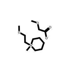 COCC(=O)[O-].COCC[N+]1(C)CCCCC1